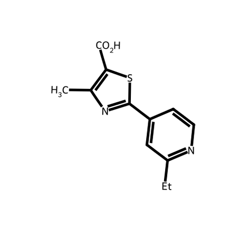 CCc1cc(-c2nc(C)c(C(=O)O)s2)ccn1